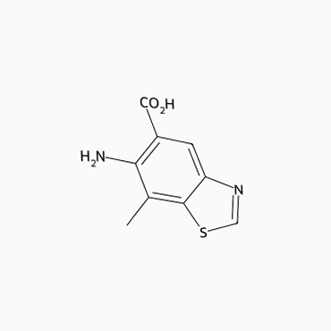 Cc1c(N)c(C(=O)O)cc2ncsc12